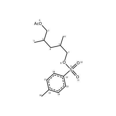 CC(=O)OCC(C)CC(C)COS(=O)(=O)c1ccc(C)cc1